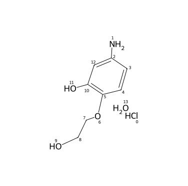 Cl.Nc1ccc(OCCO)c(O)c1.O